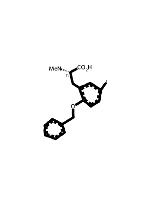 CN[C@@H](Cc1cc(I)ccc1OCc1ccccc1)C(=O)O